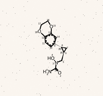 NC(=O)N(O)C[C@@H]1C[C@H]1c1ccc2c(c1)OCCO2